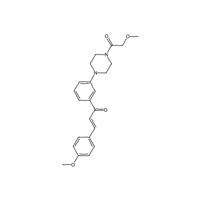 COCC(=O)N1CCN(c2cccc(C(=O)C=Cc3ccc(OC)cc3)c2)CC1